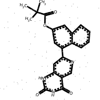 CC(C)(C)C(=O)Oc1cc(-c2cc3[nH]c(=O)[nH]c(=O)c3cn2)c2ccccc2c1